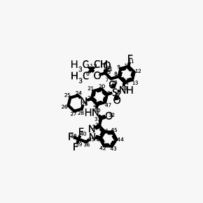 CC(C)(C)OC(=O)Cc1cc(F)ccc1NS(=O)(=O)c1ccc(N2CCCCC2)c(NC(=O)c2nn(CC(F)(F)F)c3ccccc23)c1